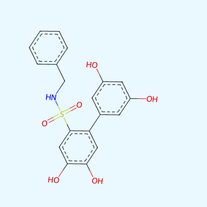 O=S(=O)(NCc1ccccc1)c1cc(O)c(O)cc1-c1cc(O)cc(O)c1